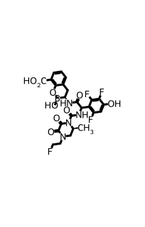 C[C@H]1CN(CCF)C(=O)C(=O)N1C(=O)NC(C(=O)N[C@H]1Cc2cccc(C(=O)O)c2OB1O)c1c(F)cc(O)c(F)c1F